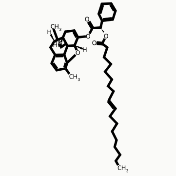 CCCCCCCC/C=C/CCCCCCCC(=O)O[C@H](C(=O)OC1=CC[C@@]2(O)[C@H]3Cc4ccc(C)c5c4[C@@]2(CCN3C)[C@H]1O5)c1ccccc1